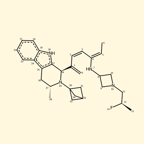 C=C(/C=C\C(=C/C)NC1CN(C[C@@H](C)F)C1)[C@@H]1c2[nH]c3ccccc3c2C[C@@H](C)N1C12CC(C1)C2